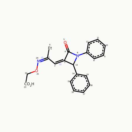 CCC(/C=C1\C(=O)N(c2ccccc2)C1c1ccccc1)=N/OCC(=O)O